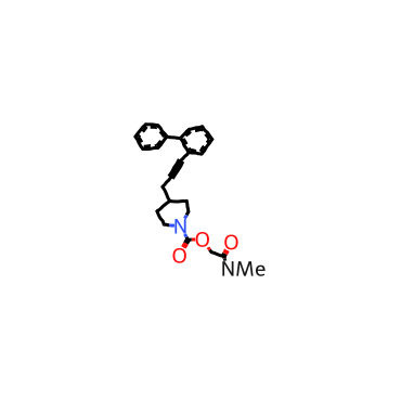 CNC(=O)COC(=O)N1CCC(CC#Cc2ccccc2-c2ccccc2)CC1